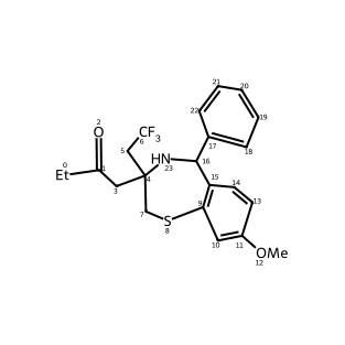 CCC(=O)CC1(CC(F)(F)F)CSc2cc(OC)ccc2C(c2ccccc2)N1